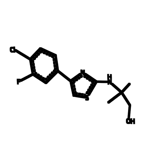 CC(C)(CO)Nc1nc(-c2ccc(Cl)c(F)c2)cs1